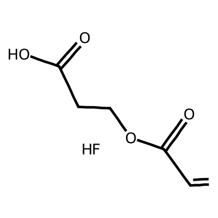 C=CC(=O)OCCC(=O)O.F